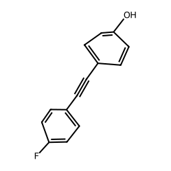 Oc1ccc(C#Cc2ccc(F)cc2)cc1